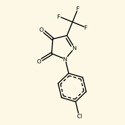 O=C1C(=O)N(c2ccc(Cl)cc2)N=C1C(F)(F)F